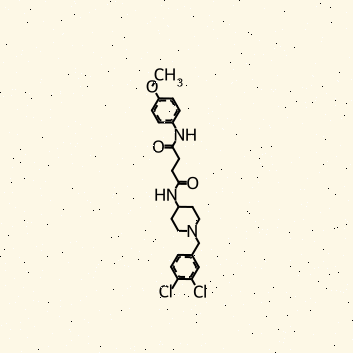 COc1ccc(NC(=O)CCC(=O)NC2CCN(Cc3ccc(Cl)c(Cl)c3)CC2)cc1